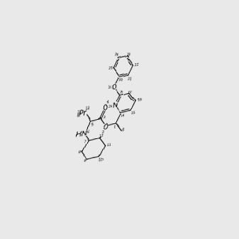 CC(OC(=O)C(NC1CCCCC1)C(C)C)c1cccc(Oc2ccccc2)n1